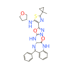 CC1(c2nc(-c3nnc(N[C@H]4N=C(c5ccccc5)c5ccccc5NC4=O)o3)c(N[C@@H]3CCOC3)s2)CC1